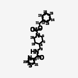 O=C(NCC1CCN(C(=O)OCc2ccccc2)CC1)c1cscn1